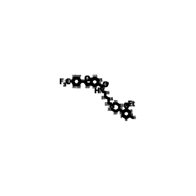 CCOc1cc(C)ccc1C1CCN(CCCCNC(=O)c2ccc3oc(-c4ccc(C(F)(F)F)cc4)cc3c2)CC1